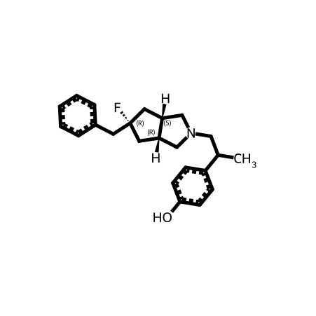 CC(CN1C[C@@H]2C[C@@](F)(Cc3ccccc3)C[C@@H]2C1)c1ccc(O)cc1